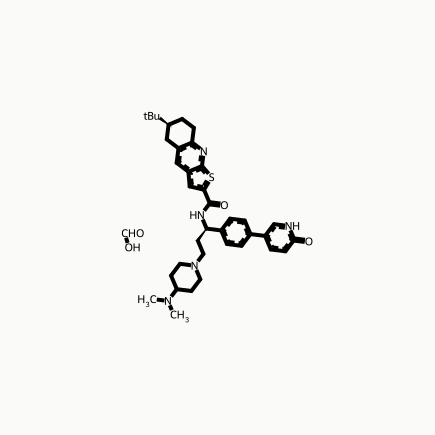 CN(C)C1CCN(CC[C@@H](NC(=O)c2cc3cc4c(nc3s2)CC[C@H](C(C)(C)C)C4)c2ccc(-c3ccc(=O)[nH]c3)cc2)CC1.O=CO